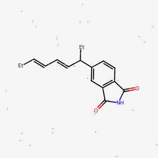 CCC=CC=CC(CC)c1ccc2c(c1)C(=O)NC2=O